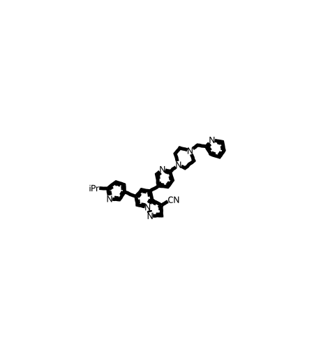 CC(C)c1ccc(-c2cc(-c3ccc(N4CCN(Cc5ccccn5)CC4)nc3)c3c(C#N)cnn3c2)cn1